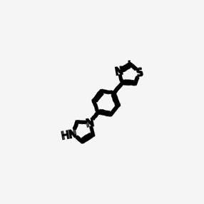 [c]1nc(-c2ccc(N3C=CNC3)cc2)cs1